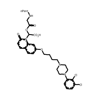 CCCCCNCC(=O)OC(C(=O)O)n1c(=O)ccc2ccc(OCCCCN3CCN(c4cccc(Cl)c4Cl)CC3)cc21